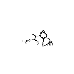 C=C(C(N)=O)c1cccc2c1CCNC2